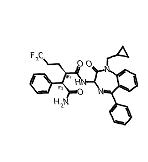 NC(=O)[C@@H](c1ccccc1)[C@@H](CCC(F)(F)F)C(=O)NC1N=C(c2ccccc2)c2ccccc2N(CC2CC2)C1=O